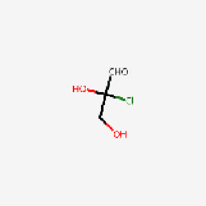 O=[C]C(O)(Cl)CO